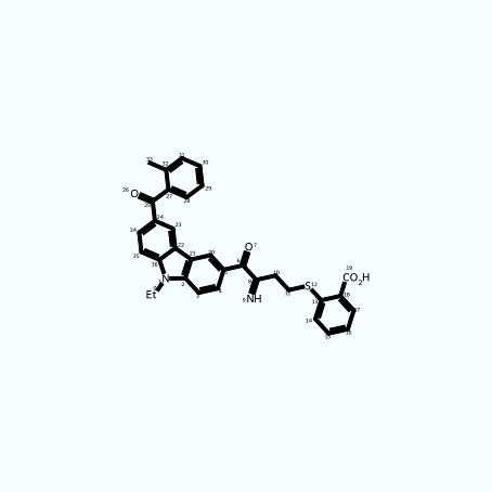 CCn1c2ccc(C(=O)C(=N)CCSc3ccccc3C(=O)O)cc2c2cc(C(=O)c3ccccc3C)ccc21